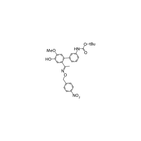 COc1cc(-c2cccc(NC(=O)OC(C)(C)C)c2)c(/C(C)=N/OCc2ccc([N+](=O)[O-])cc2)cc1O